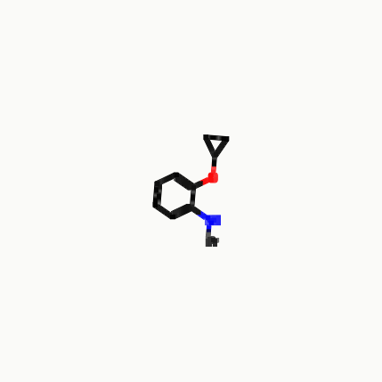 CC(C)Nc1ccccc1OC1CC1